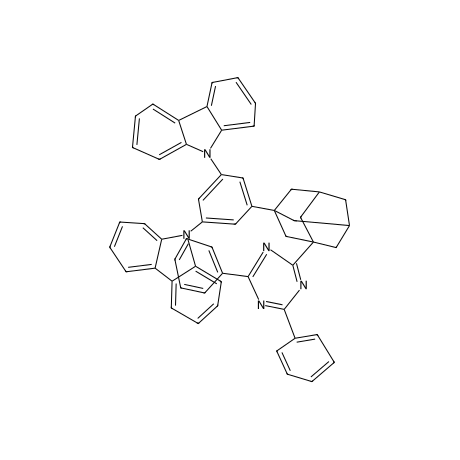 c1ccc(-c2nc(-c3ccccc3)nc(C34CC5CC(CC(c6cc(-n7c8ccccc8c8ccccc87)cc(-n7c8ccccc8c8ccccc87)c6)(C5)C3)C4)n2)cc1